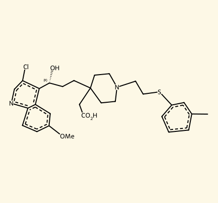 COc1ccc2ncc(Cl)c([C@H](O)CCC3(CC(=O)O)CCN(CCSc4cccc(C)c4)CC3)c2c1